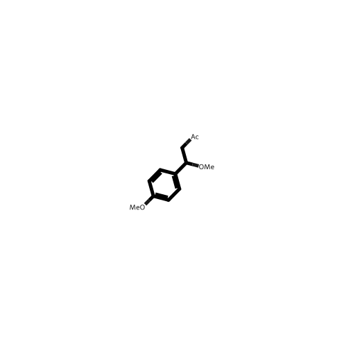 COc1ccc(C(CC(C)=O)OC)cc1